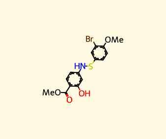 COC(=O)c1ccc(NSc2ccc(OC)c(Br)c2)cc1O